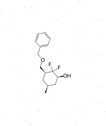 C[C@H]1C[C@@H](COCc2ccccc2)C(F)(F)[C@@H](O)C1